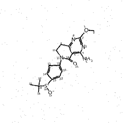 COc1nc(N)c2c(n1)CCN(c1ccc([S+]([O-])C(C)(C)C)cc1)C2=O